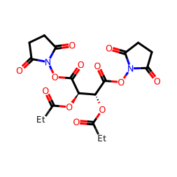 CCC(=O)O[C@@H](C(=O)ON1C(=O)CCC1=O)[C@@H](OC(=O)CC)C(=O)ON1C(=O)CCC1=O